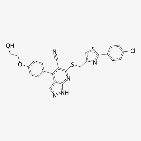 N#Cc1c(SCc2csc(-c3ccc(Cl)cc3)n2)nc2[nH]ncc2c1-c1ccc(OCCO)cc1